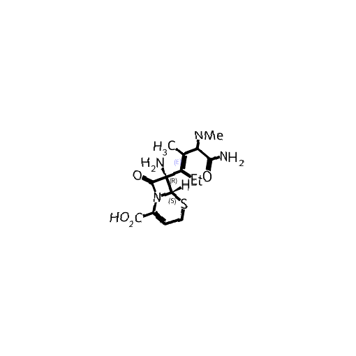 CC/C(=C(/C)C(NC)C(N)=O)[C@@]1(N)C(=O)N2C(C(=O)O)=CCS[C@H]21